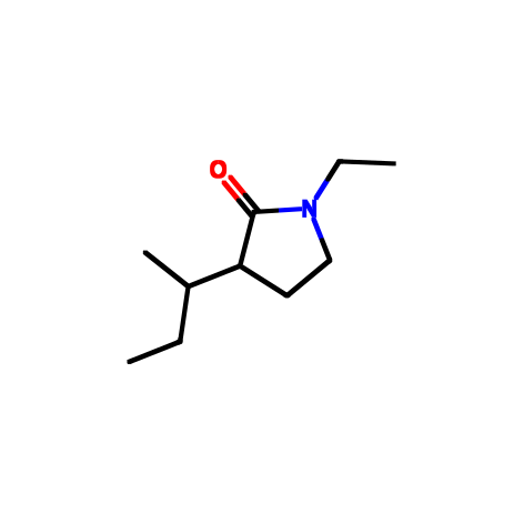 CCC(C)C1CCN(CC)C1=O